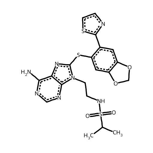 CC(C)S(=O)(=O)NCCn1c(Sc2cc3c(cc2-c2nccs2)OCO3)nc2c(N)ncnc21